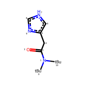 CC(C)(C)N(C(=O)Cc1c[nH]cn1)C(C)(C)C